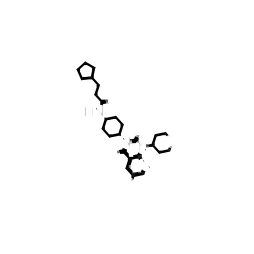 O=C(CCC1CCCC1)N[C@H]1CC[C@@H](n2c(=O)c3cc(F)cnc3n(C3CCSCC3)c2=O)CC1